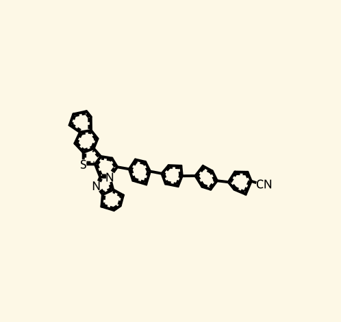 N#Cc1ccc(-c2ccc(-c3ccc(-c4ccc(-c5cc6c7cc8ccccc8cc7sc6c6nc7ccccc7n56)cc4)cc3)cc2)cc1